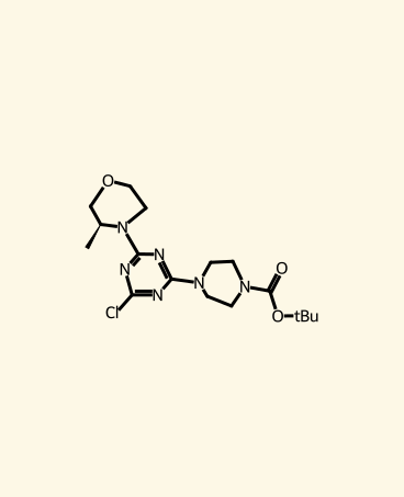 C[C@H]1COCCN1c1nc(Cl)nc(N2CCN(C(=O)OC(C)(C)C)CC2)n1